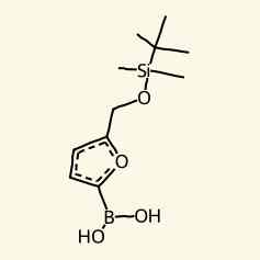 CC(C)(C)[Si](C)(C)OCc1ccc(B(O)O)o1